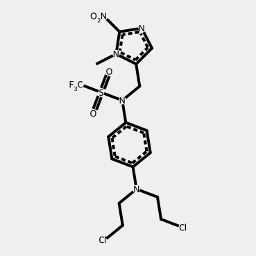 Cn1c(CN(c2ccc(N(CCCl)CCCl)cc2)S(=O)(=O)C(F)(F)F)cnc1[N+](=O)[O-]